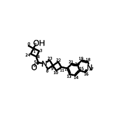 CC1(O)CC(C(=O)N2CC3(CC(c4ccc5cnccc5c4)C3)C2)C1